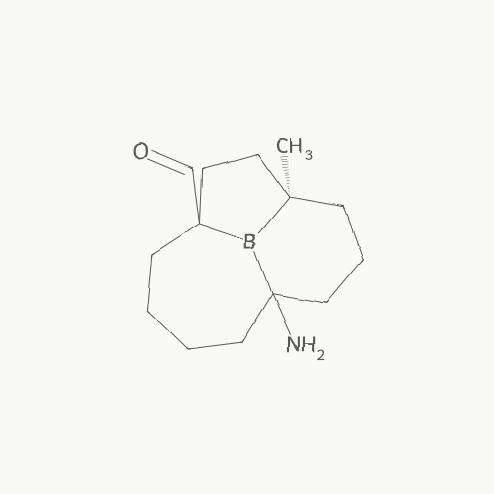 C[C@@]12CCCC3(N)CCCCC(C=O)(CC1)B32